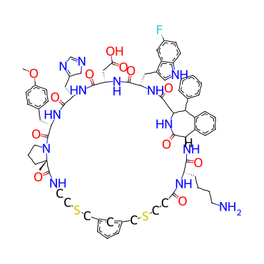 COc1ccc(C[C@@H]2NC(=O)[C@H](CC3=NC=NC3)NC(=O)[C@H](CC(=O)O)NC(=O)[C@H](Cc3c[nH]c4ccc(F)cc34)NC(=O)C3NC(=O)[C@H](NC(=O)[C@H](CCCCN)NC(=O)CCSCc4cccc(c4)CSCCNC(=O)[C@]4(C)CCCN4C2=O)c2ccccc2C3c2ccccc2)cc1